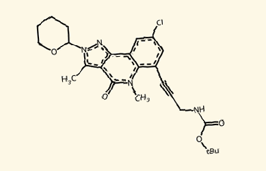 Cc1c2c(=O)n(C)c3c(C#CCNC(=O)OC(C)(C)C)cc(Cl)cc3c2nn1C1CCCCO1